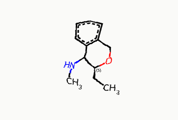 CC[C@@H]1OCc2ccccc2C1NC